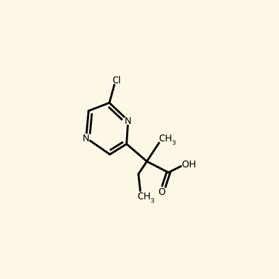 CCC(C)(C(=O)O)c1cncc(Cl)n1